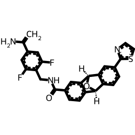 C=C(N)c1cc(F)c(CNC(=O)c2ccc3c(c2)[C@@H]2O[C@H]3c3ccc(-c4nccs4)cc32)c(F)c1